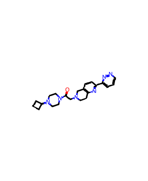 O=C(CN1CCc2nc(-c3cccnn3)ccc2C1)N1CCN(C2CCC2)CC1